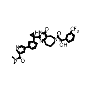 CN(C)C(=O)c1cncc(-c2cccc(C3(c4nc5c(c(=O)[nH]4)CN(C(=O)[C@H](O)c4cccc(C(F)(F)F)c4)CCC5)CC3)c2)c1